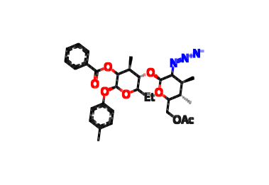 CCC1O[C@@H](Oc2ccc(C)cc2)C(OC(=O)c2ccccc2)[C@@H](C)[C@@H]1O[C@@H]1OC(COC(C)=O)[C@@H](C)[C@H](C)C1N=[N+]=[N-]